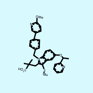 COc1ccc(-c2ccc(Cn3c(CC(C)(C)C(=O)O)c(SC(C)(C)C)c4cc(OC(C)c5ccccn5)ccc43)cc2)cn1